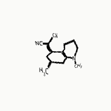 CC1CC(=C(C#N)C#N)C2=C(C1)N(C)CCC2